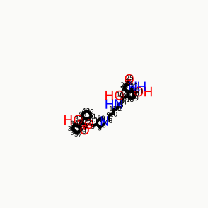 O=C(OCC1CCN(CCCCCNC[C@@H](O)c2ccc(O)c3[nH]c(=O)ccc23)CC1)C(O)(c1ccccc1)C1CCCCC1